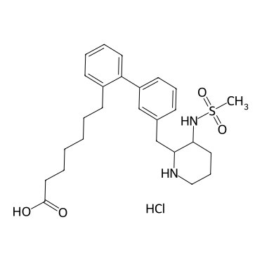 CS(=O)(=O)NC1CCCNC1Cc1cccc(-c2ccccc2CCCCCCC(=O)O)c1.Cl